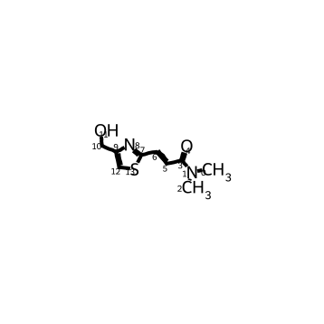 CN(C)C(=O)C=Cc1nc(CO)cs1